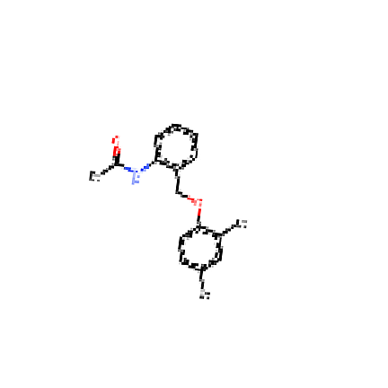 CCC(=O)Nc1ccccc1COc1ccc(CC)cc1CC